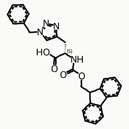 O=C(N[C@@H](Cc1cn(Cc2ccccc2)nn1)C(=O)O)OCC1c2ccccc2-c2ccccc21